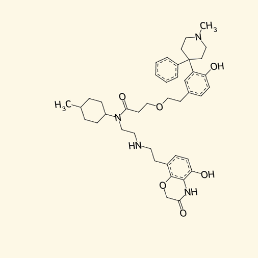 CC1CCC(N(CCNCCc2ccc(O)c3c2OCC(=O)N3)C(=O)CCOCCc2ccc(O)c(C3(c4ccccc4)CCN(C)CC3)c2)CC1